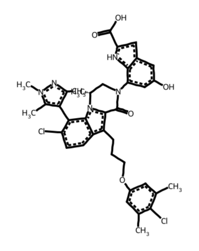 Cc1cc(OCCCc2c3n(c4c(-c5c(C)nn(C)c5C)c(Cl)ccc24)[C@H](C)CN(c2cc(O)cc4cc(C(=O)O)[nH]c24)C3=O)cc(C)c1Cl